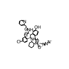 [N-]=[N+]=NC[S+]([O-])N[C@H]1CCCCC1N1C(=O)c2ccc(O)cc2[C@@H](C(=O)NOCc2ccccn2)[C@@H]1c1ccc(Cl)cc1Cl